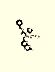 O=C(O)N[C@@H]1COC[C@H]1C(NCc1ccc2c(n1)NC(=O)CO2)C(=O)OCc1ccccc1